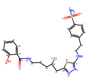 NS(=O)(=O)c1ccc(CCNc2nnc(CC(Cl)CCCNC(=O)c3ccccc3O)s2)cc1